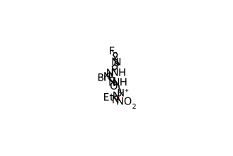 CCc1nc([N+](=O)[O-])c(C[N+](C)(C)C/C=C/C(=O)Nc2cc3c(Nc4ccc5c(cnn5Cc5cccc(F)c5)c4)ncnc3cn2)n1C.[Br-]